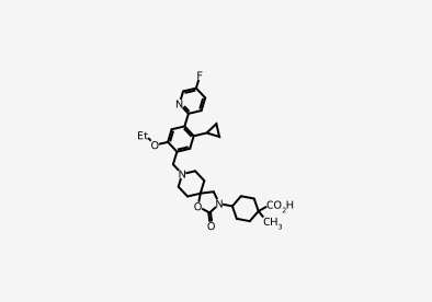 CCOc1cc(-c2ccc(F)cn2)c(C2CC2)cc1CN1CCC2(CC1)CN(C1CCC(C)(C(=O)O)CC1)C(=O)O2